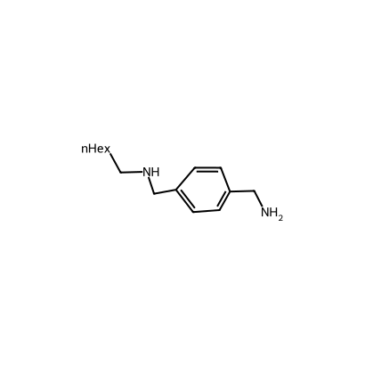 CCCCCCCNCc1ccc(CN)cc1